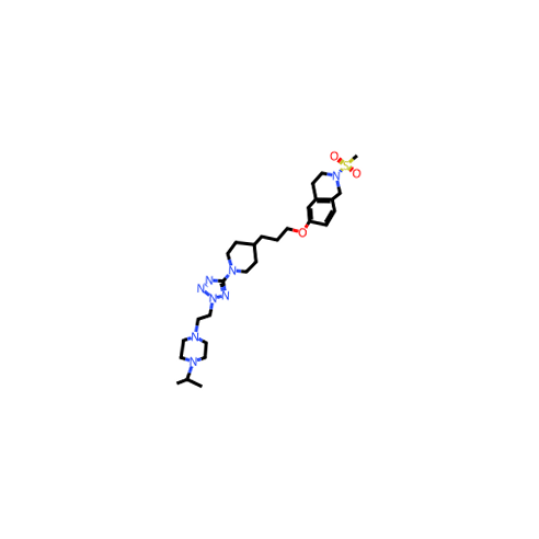 CC(C)N1CCN(CCn2nnc(N3CCC(CCCOc4ccc5c(c4)CCN(S(C)(=O)=O)C5)CC3)n2)CC1